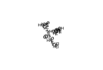 O=C(CCN(CCNCCc1ccc(O)c2[nH]c(=O)sc12)C1CCOCC1)NCCc1ccc(Cl)c(Cl)c1.O=C(O)C(F)(F)F.O=C(O)C(F)(F)F